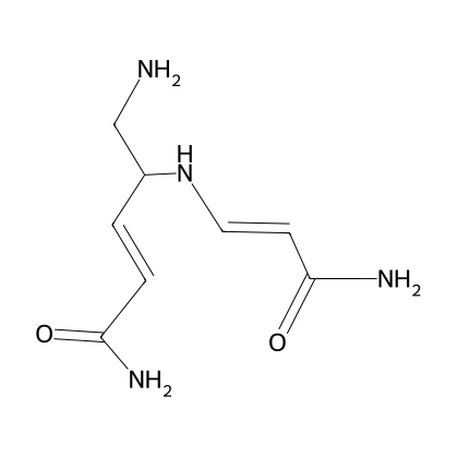 NCC(C=CC(N)=O)NC=CC(N)=O